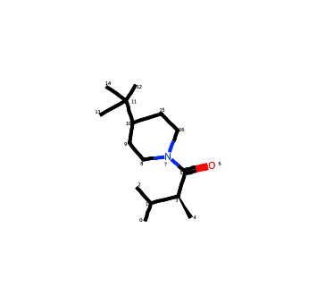 CC(C)[C@H](C)C(=O)N1CCC(C(C)(C)C)CC1